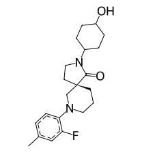 Cc1ccc(N2CCC[C@]3(CCN(C4CCC(O)CC4)C3=O)C2)c(F)c1